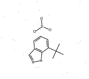 CC(C)(C)c1cccc2c1[N]N=C2.[Cl][Zr]([Cl])[Cl]